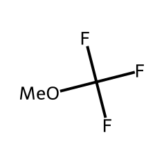 [CH2]OC(F)(F)F